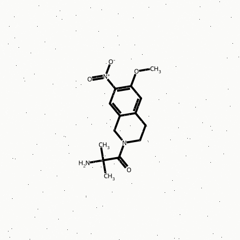 COc1cc2c(cc1[N+](=O)[O-])CN(C(=O)C(C)(C)N)CC2